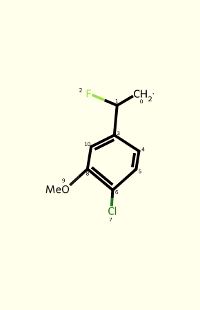 [CH2]C(F)c1ccc(Cl)c(OC)c1